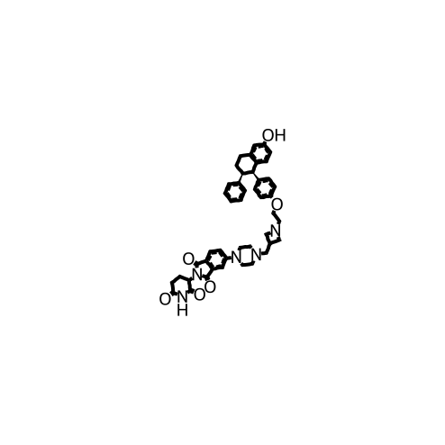 O=C1CCC(N2C(=O)c3ccc(N4CCN(CC5CN(CCOc6ccc([C@@H]7c8ccc(O)cc8CC[C@@H]7c7ccccc7)cc6)C5)CC4)cc3C2=O)C(=O)N1